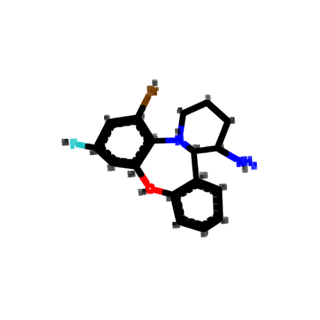 NC1CCCN2c3c(Br)cc(F)cc3Oc3ccccc3C12